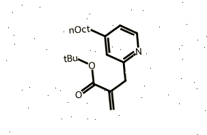 C=C(Cc1cc(CCCCCCCC)ccn1)C(=O)OC(C)(C)C